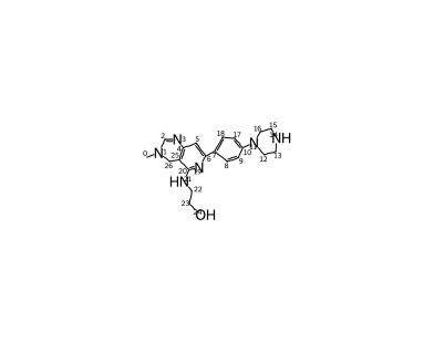 CN1C=Nc2cc(-c3ccc(N4CCNCC4)cc3)nc(NCCO)c2C1